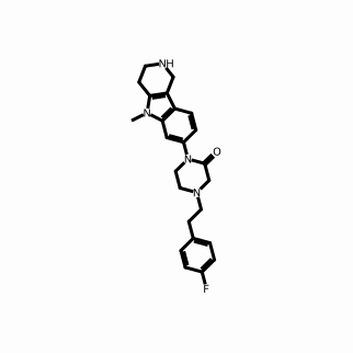 Cn1c2c(c3ccc(N4CCN(CCc5ccc(F)cc5)CC4=O)cc31)CNCC2